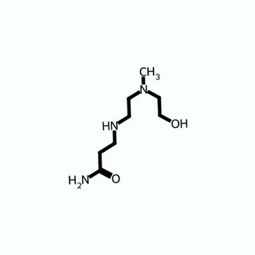 CN(CCO)CCNCCC(N)=O